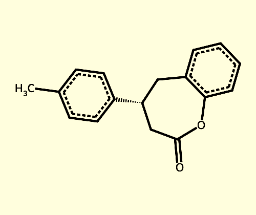 Cc1ccc([C@H]2CC(=O)Oc3ccccc3C2)cc1